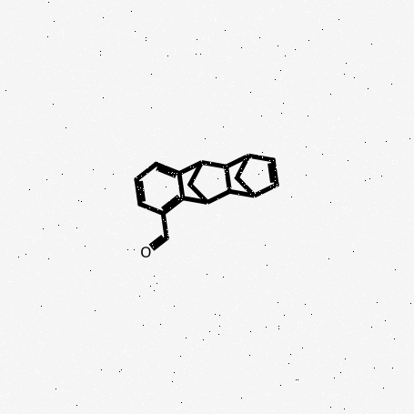 O=Cc1cccc2c1C1CC2C2C3C=CC(C3)C12